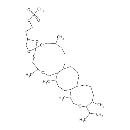 CC1CCCC2CCCC3CCCC(C)C(C(C)C)CCC(C)C3CCC(C)C2CCC(C)CCC2(CC1)OCC(CCOS(C)(=O)=O)O2